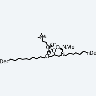 CCCCCCCCCCCCCCCCCCCCOCC(CN(CCCCCCCCCCCCCCCC)C(=O)NC)OP(=O)([O-])OCC[N+](C)(C)C